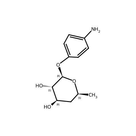 C[C@H]1C[C@@H](O)[C@H](O)[C@@H](Oc2ccc(N)cc2)O1